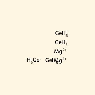 [GeH5-].[GeH5-].[GeH5-].[GeH5-].[Mg+2].[Mg+2]